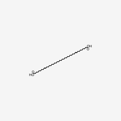 O=C(O)CCCCCCCC=CCCCCCCCCCCCCCCCCCCCCCCC=CCCCCCCCC(=O)O